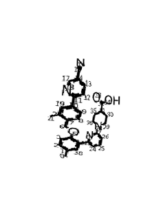 Cc1ccc(OCc2ccc(-c3ccc(C#N)cn3)cc2C)c(-c2cccc(N3CCC(C(=O)O)CC3)n2)c1